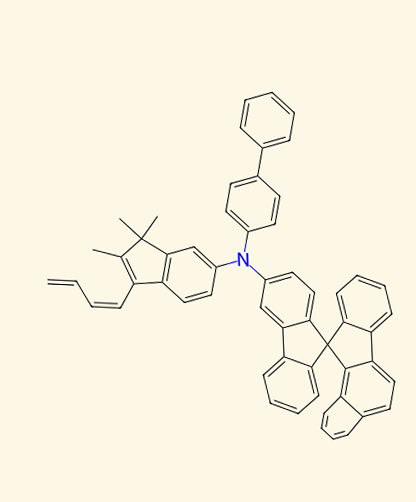 C=C/C=C\C1=C(C)C(C)(C)c2cc(N(c3ccc(-c4ccccc4)cc3)c3ccc4c(c3)-c3ccccc3C43c4ccccc4-c4ccc5ccccc5c43)ccc21